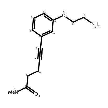 CNC(=O)CCC#Cc1cccc(OCCN)c1